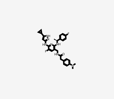 C[C@H](Nc1nc(Nc2cc(C3CC3)[nH]n2)c(F)cc1CNC(=O)Cc1ccc(N(C)C)cc1)c1ccc(F)cc1